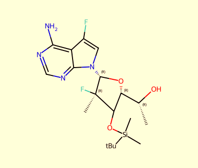 C[C@@H](O)[C@H]1O[C@@H](n2cc(F)c3c(N)ncnc32)[C@](C)(F)C1O[Si](C)(C)C(C)(C)C